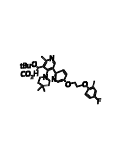 Cc1cc(F)ccc1OCCOc1ccc(-c2cnc(C)c([C@H](OC(C)(C)C)C(=O)O)c2N2CCC(C)(C)CC2)nc1